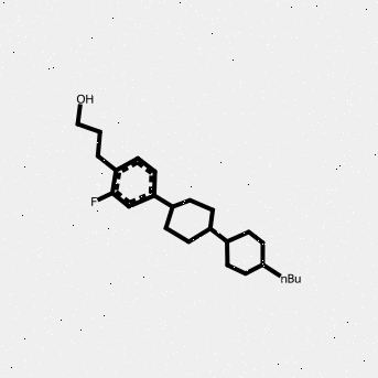 CCCCC1CCC(C2CCC(c3ccc(CCCO)c(F)c3)CC2)CC1